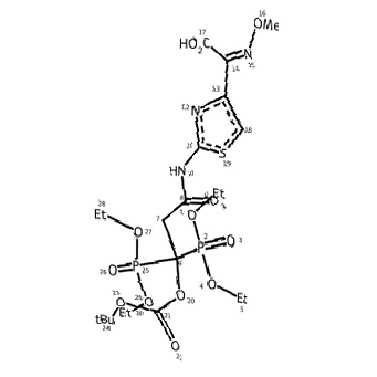 CCOP(=O)(OCC)C(CC(=O)Nc1nc(C(=NOC)C(=O)O)cs1)(OC(=O)OC(C)(C)C)P(=O)(OCC)OCC